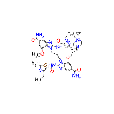 CCc1nc(C)sc1C(=O)Nc1nc2cc(C(N)=O)cc(OCCCN3CCN(C4CC4)CC3)c2n1C/C=C/Cn1c(NC(=O)c2cc(C)nn2CC)nc2cc(C(N)=O)cc(OC)c21